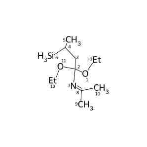 CCOC(CC(C)[SiH3])(N=C(C)C)OCC